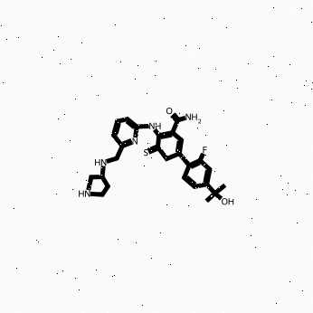 CC(C)(O)c1ccc(C2=CC(C(N)=O)=C(Nc3cccc(CNC4CCNC4)n3)C(=S)C2)c(F)c1